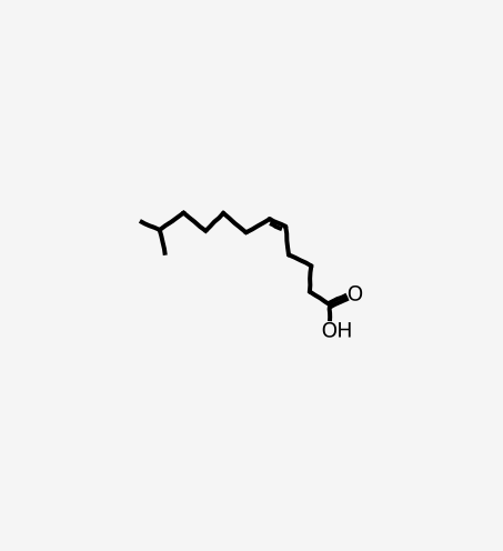 CC(C)CCCC/C=C\CCCC(=O)O